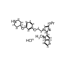 CCCc1cn(CCOc2cccc(OC3CCNCC3)c2)c(-c2cc3sccc3n2C)n1.Cl